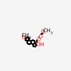 COCCOCOCC[C@]12CCC3c4ccc(OC)cc4CCC3C1CC[C@@H]2O